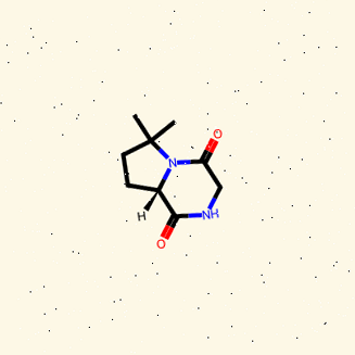 CC1(C)CC[C@H]2C(=O)NCC(=O)N21